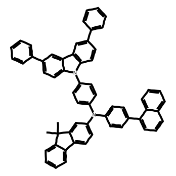 CC1(C)c2ccccc2-c2ccc(N(c3ccc(-c4cccc5ccccc45)cc3)c3ccc(-n4c5ccc(-c6ccccc6)cc5c5cc(-c6ccccc6)ccc54)cc3)cc21